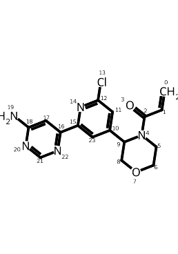 C=CC(=O)N1CCOCC1c1cc(Cl)nc(-c2cc(N)ncn2)c1